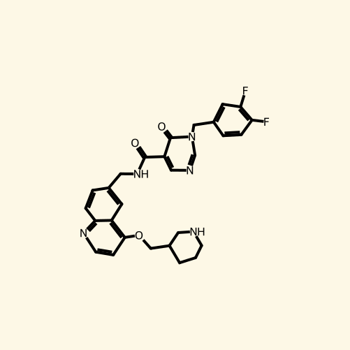 O=C(NCc1ccc2nccc(OCC3CCCNC3)c2c1)c1cncn(Cc2ccc(F)c(F)c2)c1=O